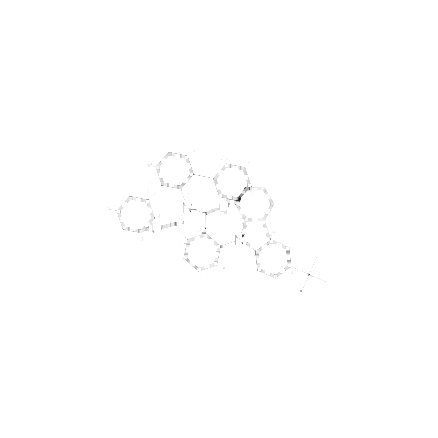 CC(C)(C)c1ccc2c(c1)c1ccccc1n2-c1cccc2c1C(=O)N(c1c(-c3ccccc3)cccc1-c1ccccc1)C2=O